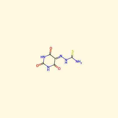 NC(=S)NN=C1C(=O)NC(=O)NC1=O